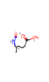 CC(CC(=O)O)N=O